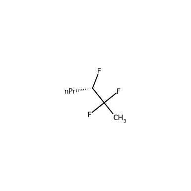 [CH2]CC[C@H](F)C(C)(F)F